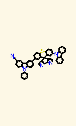 N#Cc1ccc2c(c1)c1cc(-c3ccc4c(c3)C3(c5cc(-n6c7ccccc7c7ccccc76)ccc5S4)c4cccnc4-c4ncccc43)ccc1n2-c1ccccc1